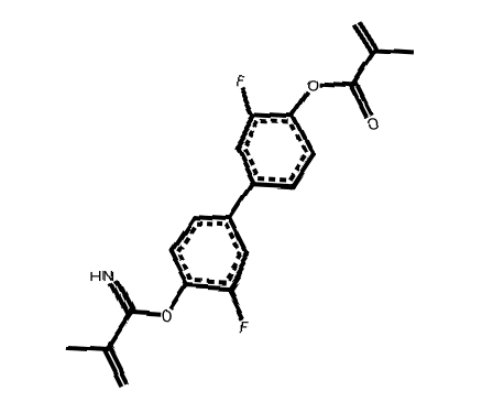 C=C(C)C(=N)Oc1ccc(-c2ccc(OC(=O)C(=C)C)c(F)c2)cc1F